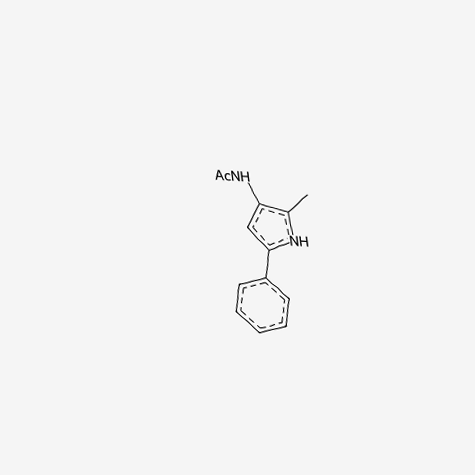 CC(=O)Nc1cc(-c2ccccc2)[nH]c1C